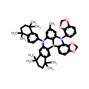 Cc1cc2c3c(c1)N(c1cccc4c1OCO4)c1c(ccc4c1OCO4)B3c1cc3c(cc1N2c1ccc2c(c1)C(C)(C)CCC2(C)C)C(C)(C)CCC3(C)C